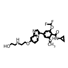 COc1cc(-c2cnc3cc(OCCNCCO)ccn23)cc(OC(F)F)c1C(=O)NC1CC1